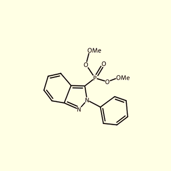 COOP(=O)(OOC)c1c2ccccc2nn1-c1ccccc1